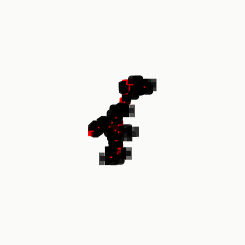 CC(C)(C)[C@H](NC(=O)c1cc2cc(C(F)(F)P(=O)(O)O)ccc2s1)C(=O)N1CCN(C(=O)CC(=O)NCCCCC#Cc2cccc3c2C(=O)N(C2CCC(=O)NC2=O)C3=O)C[C@H]1C(=O)N1CCC[C@H](c2ccccc2)C1